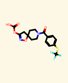 O=C(O)OC1=NOC2(CCN(C(=O)c3ccc(SC(F)(F)F)cc3)CC2)C1